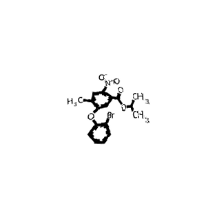 Cc1cc([N+](=O)[O-])c(C(=O)OC(C)C)cc1Oc1ccccc1Br